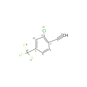 C#Cc1ccc(C(F)(F)F)cc1Cl